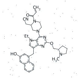 C=CC(=O)N1CCN(c2nc(OCC3CCCN3C)nc3c(Cc4cc(O)cc5ccccc45)cn(CC)c23)CC1CC#N